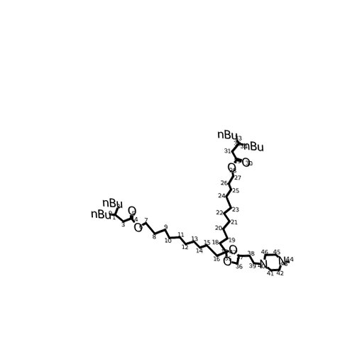 CCCCC(CCCC)CC(=O)OCCCCCCCCCCC1(CCCCCCCCCCOC(=O)CC(CCCC)CCCC)OCC(CCN2CCN(C)CC2)O1